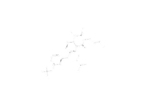 CC(C)CCc1c(Cc2cccc(OC(F)(F)F)c2)cnc2c1c(=O)n(CCCO)c(=O)n2C